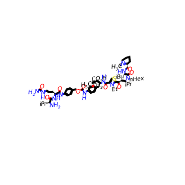 CCCCCCN(C(=O)[C@@H](NC(=O)[C@H]1CCCCN1C)[C@@H](C)CC)[C@H](C[C@@H](OCC)c1nc(C(=O)N[C@@H](Cc2ccc(NC(=O)OCc3ccc(NC(=O)[C@H](CCCNC(N)=O)NC(=O)[C@@H](N)C(C)C)cc3)cc2)CC(C)(C)C(=O)O)cs1)C(C)C